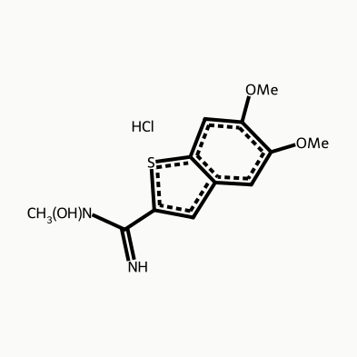 COc1cc2cc(C(=N)N(C)O)sc2cc1OC.Cl